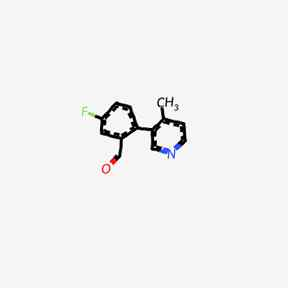 Cc1ccncc1-c1ccc(F)cc1C=O